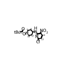 CC(C)(C)C(=O)ON1CCC(Nc2nc(Cl)ccc2[N+](=O)[O-])CC1